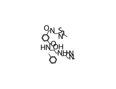 Cc1csc(CN(C)C(=O)c2cccc(C(=O)N[C@@H](Cc3ccccc3)[C@H](O)CNCC3C=NN(C)C3)c2)n1